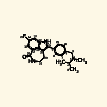 CC(C)N(C)Cc1ccc(-c2[nH]c3cc(F)cc4c3c2CCNC4=O)cc1